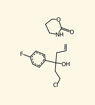 C=CCC(O)(CCCl)c1ccc(F)cc1.O=C1NCCCO1